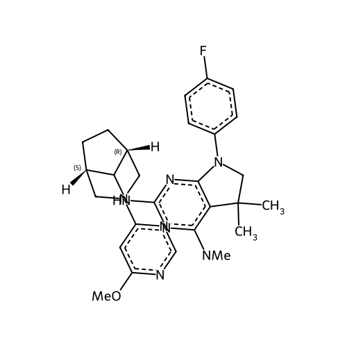 CNc1nc(NC2[C@@H]3CC[C@H]2CN(c2cc(OC)ncn2)C3)nc2c1C(C)(C)CN2c1ccc(F)cc1